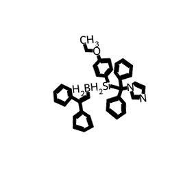 BC=C(c1ccccc1)c1ccccc1.CCOc1ccc([SiH2]C(c2ccccc2)(c2ccccc2)n2ccnc2)cc1